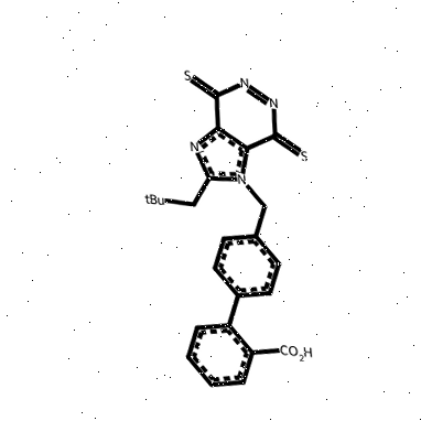 CC(C)(C)Cc1nc2c(n1Cc1ccc(-c3ccccc3C(=O)O)cc1)C(=S)N=NC2=S